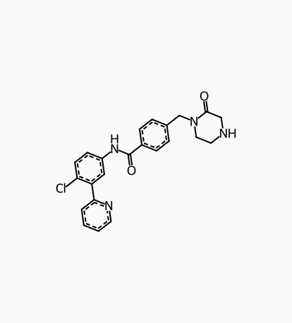 O=C(Nc1ccc(Cl)c(-c2ccccn2)c1)c1ccc(CN2CCNCC2=O)cc1